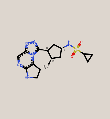 C[C@@H]1C[C@H](NS(=O)(=O)C2CC2)C[C@@H]1c1nnc2cnc3c(n12)CCN3